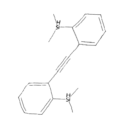 C[SiH](C)c1ccccc1C#Cc1ccccc1[SiH](C)C